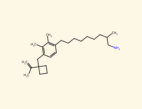 C=C(C)C1(Cc2ccc(CCCCCCCC(C)CN)c(C)c2C)CCC1